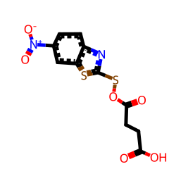 O=C(O)CCC(=O)OSc1nc2ccc([N+](=O)[O-])cc2s1